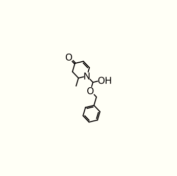 CC1CC(=O)C=CN1C(O)OCc1ccccc1